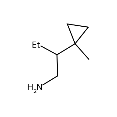 CCC(CN)C1(C)CC1